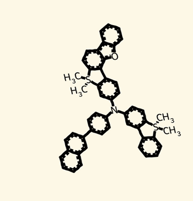 CS1(C)c2ccccc2-c2cc(N(c3ccc(-c4ccc5ccccc5c4)cc3)c3ccc4c(c3)S(C)(C)c3ccc5c(oc6ccccc65)c3-4)ccc21